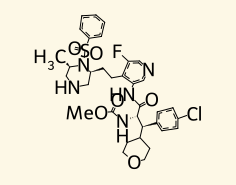 COC(=O)N[C@H](C(=O)Nc1cncc(F)c1CC[C@H]1CNC[C@@H](C)N1S(=O)(=O)c1ccccc1)[C@@H](c1ccc(Cl)cc1)C1CCOCC1